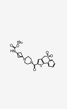 CC(C)(C)OC(=O)NC12CC(N3CCN(C(=O)c4cc5c(s4)-c4ccccc4S(=O)(=O)C5)CC3)(C1)C2